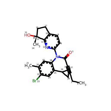 CCC#CC(=O)N(c1ccc2c(n1)[C@](C)(O)CC2)c1cc(C)c(Br)cc1C1CC1